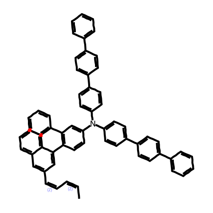 C/C=C\C=C/c1cc(-c2ccc(N(c3ccc(-c4ccc(-c5ccccc5)cc4)cc3)c3ccc(-c4ccc(-c5ccccc5)cc4)cc3)cc2-c2ccccc2)c2ccccc2c1